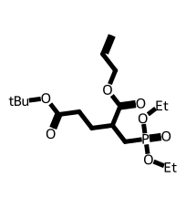 C=CCOC(=O)C(CCC(=O)OC(C)(C)C)CP(=O)(OCC)OCC